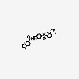 O=C(NCc1ccc(S(=O)(=O)c2cccc(C(F)(F)F)n2)cc1)c1ccc2nccn2c1